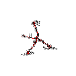 CC(=O)N[C@H]1[C@@H]2OC[C@](COCCOCCOCCOCCn3cc(COCC(COCc4cn(CCOCCOCCOCCOC[C@@]56CO[C@H](O5)[C@H](NC(C)=O)[C@@H](OC(C)=O)[C@H]6OC(C)=O)nn4)(COCc4cn(CCOCCOCCOCCO[C@@]56CO[C@@H](O5)[C@H](NC(C)=O)[C@@H](OC(C)=O)[C@H]6OC(C)=O)nn4)NC(=O)CCCCCNC(=O)CCCCCSSc4ccccn4)nn3)(O2)[C@H](OC(C)=O)[C@@H]1OC(C)=O